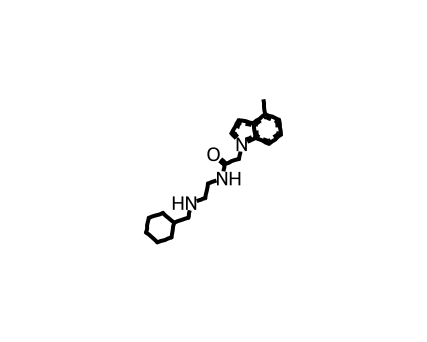 Cc1cccc2c1ccn2CC(=O)NCCNCC1CCCCC1